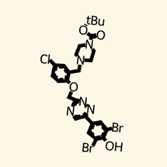 CC(C)(C)OC(=O)N1CCN(Cc2cc(Cl)ccc2OCc2ncc(-c3cc(Br)c(O)c(Br)c3)nn2)CC1